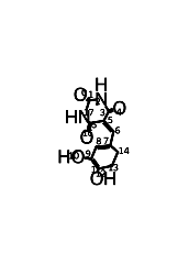 O=C1NC(=O)C(=CC2=CC(O)=C(O)CC2)C(=O)N1